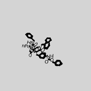 CCCN(C(=O)NCc1ccccc1)N1CC(=O)N2[C@@H](Cc3ccc(NC(=O)OCc4ccccc4)cc3)C(=O)N(Cc3cccc4ccccc34)C[C@@H]21